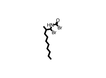 CCCCCCCCC(C)C(Br)NC(=O)Br